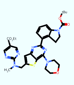 CCOC(=O)c1cnc(N(C)Cc2cc3nc(-c4cccc5c4CCN5C(=O)OC(C)(C)C)nc(N4CCOCC4)c3s2)nc1